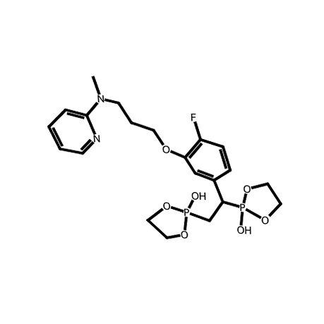 CN(CCCOc1cc(C(C[P]2(O)OCCO2)[P]2(O)OCCO2)ccc1F)c1ccccn1